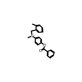 Cc1ccccc1C[S+](C)c1ccc(OC(=O)c2ccccc2)cc1